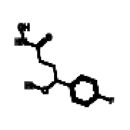 CCOC(CCC(=O)NO)c1ccc(F)cc1